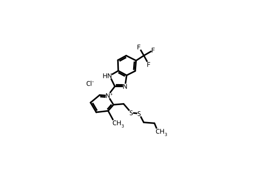 CCCSSCc1c(C)ccc[n+]1-c1nc2cc(C(F)(F)F)ccc2[nH]1.[Cl-]